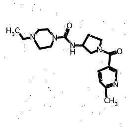 CCN1CCN(C(=O)NC2CCN(C(=O)c3ccc(C)nc3)C2)CC1